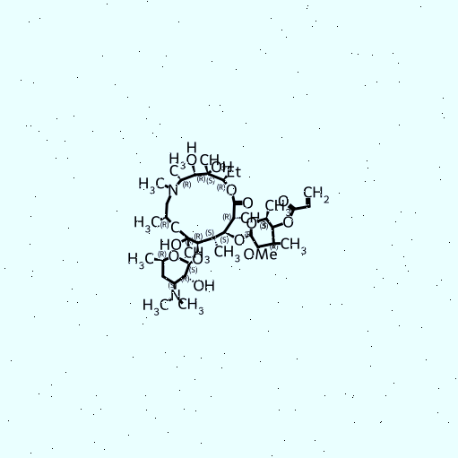 C=CC(=O)OC1[C@H](C)O[C@@H](O[C@H]2[C@H](C)[C@@H](O[C@@H]3O[C@H](C)C[C@H](N(C)C)[C@H]3O)[C@](C)(O)C[C@@H](C)CN(C)[C@H](C)[C@@H](O)[C@](C)(O)[C@@H](CC)OC(=O)[C@@H]2C)C[C@@]1(C)OC